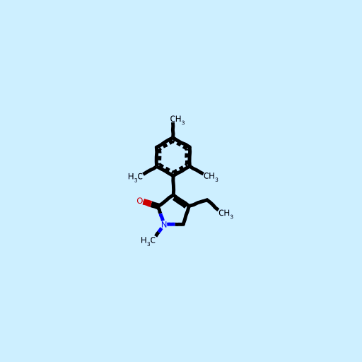 CCC1=C(c2c(C)cc(C)cc2C)C(=O)N(C)C1